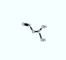 O=NOP(O)O